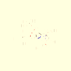 CCC(=O)OC(C)C[C@@](N)(Cc1ccc(OC(=O)OCC(C)(C)C)c(OC(=O)OCC(C)(C)C)c1)C(=O)OC